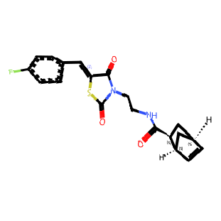 O=C(NCCN1C(=O)S/C(=C\c2ccc(F)cc2)C1=O)[C@H]1C[C@H]2C=C[C@@H]1C2